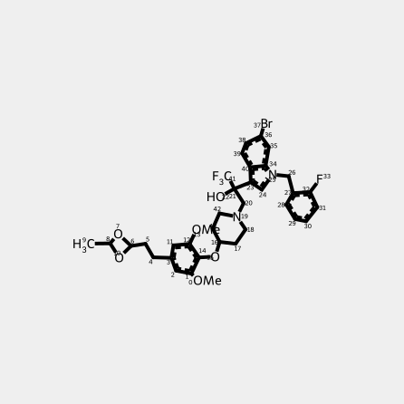 COc1cc(CCC2OC(C)O2)cc(OC)c1OC1CCN(CC(O)(c2cn(Cc3ccccc3F)c3cc(Br)ccc23)C(F)(F)F)CC1